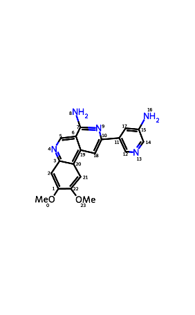 COc1cc2ncc3c(N)nc(-c4cncc(N)c4)cc3c2cc1OC